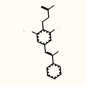 C=C(C)CCc1c(O)cc(/C=C(\C)c2ccccc2)cc1OC